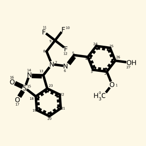 COc1cc(/C=N/N(CC(F)(F)F)C2=NS(=O)(=O)c3ccccc32)ccc1O